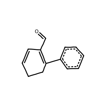 O=CC1=C(c2ccccc2)CCC=C1